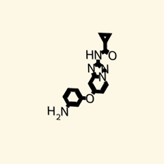 Nc1cccc(Oc2ccn3nc(NC(=O)C4CC4)nc3c2)c1